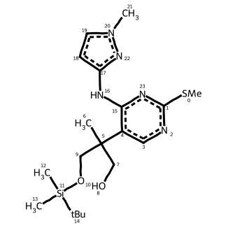 CSc1ncc(C(C)(CO)CO[Si](C)(C)C(C)(C)C)c(Nc2ccn(C)n2)n1